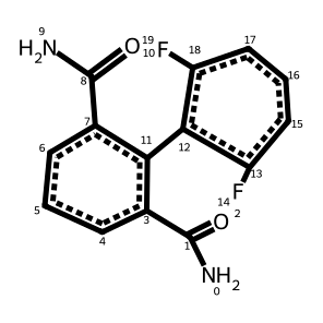 NC(=O)c1cccc(C(N)=O)c1-c1c(F)cccc1F